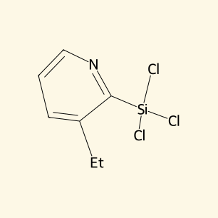 CCc1cccnc1[Si](Cl)(Cl)Cl